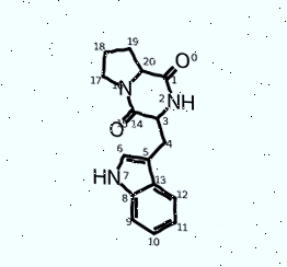 O=C1NC(Cc2c[nH]c3ccccc23)C(=O)N2CCCC12